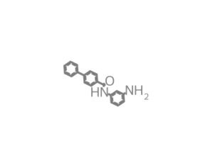 Nc1cccc(NC(=O)c2ccc(-c3ccccc3)cc2)c1